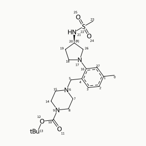 Cc1ccc(CN2CCN(C(=O)OC(C)(C)C)CC2)c(N2CC[C@@H](NS(C)(=O)=O)C2)c1